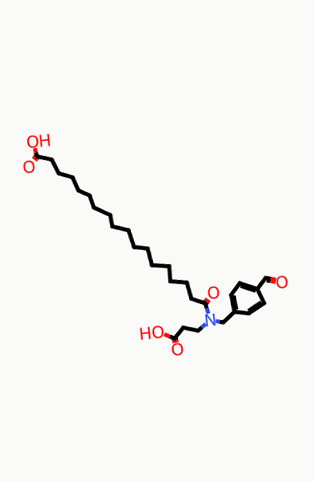 O=Cc1ccc(CN(CCC(=O)O)C(=O)CCCCCCCCCCCCCCCCC(=O)O)cc1